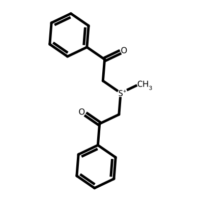 C[S+](CC(=O)c1ccccc1)CC(=O)c1ccccc1